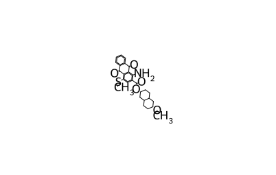 COC1CCC2CC(OC(=O)c3cc(SC)c4c(c3N)C(=O)c3ccccc3C4=O)CCC2C1